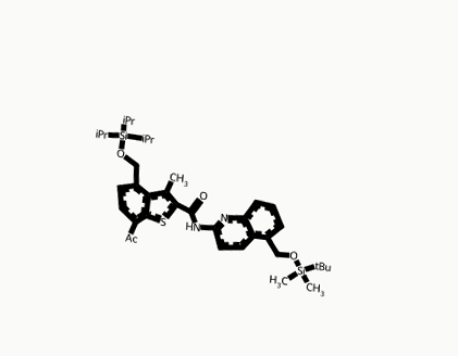 CC(=O)c1ccc(CO[Si](C(C)C)(C(C)C)C(C)C)c2c(C)c(C(=O)Nc3ccc4c(CO[Si](C)(C)C(C)(C)C)cccc4n3)sc12